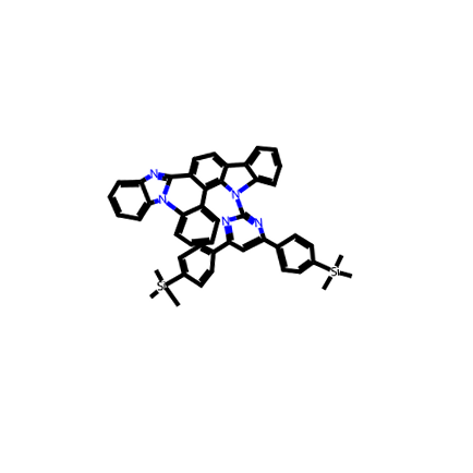 C[Si](C)(C)c1ccc(-c2cc(-c3ccc([Si](C)(C)C)cc3)nc(-n3c4ccccc4c4ccc5c(c6ccccc6n6c7ccccc7nc56)c43)n2)cc1